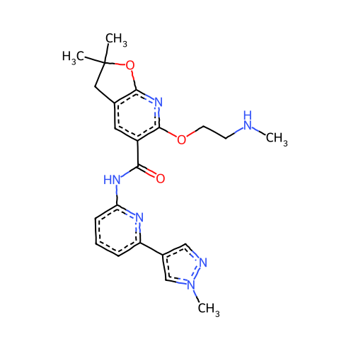 CNCCOc1nc2c(cc1C(=O)Nc1cccc(-c3cnn(C)c3)n1)CC(C)(C)O2